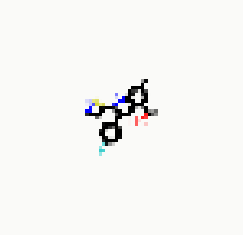 Cc1cc(C(C)O)c2cc(-c3ccc(F)cc3)c(-c3ccns3)nc2c1